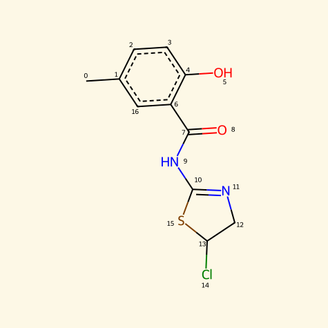 Cc1ccc(O)c(C(=O)NC2=NCC(Cl)S2)c1